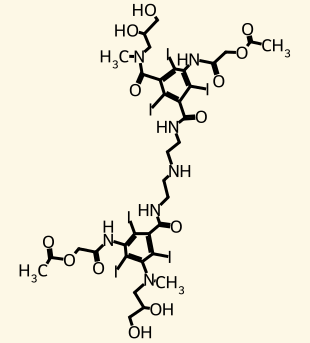 CC(=O)OCC(=O)Nc1c(I)c(C(=O)NCCNCCNC(=O)c2c(I)c(NC(=O)COC(C)=O)c(I)c(N(C)CC(O)CO)c2I)c(I)c(C(=O)N(C)CC(O)CO)c1I